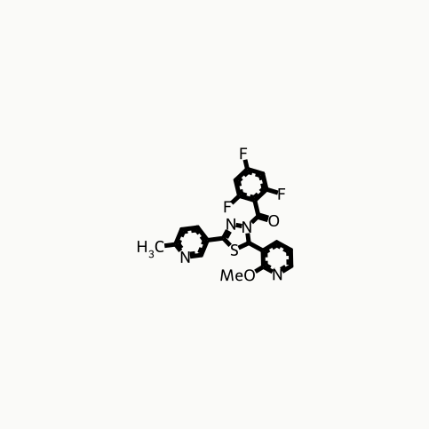 COc1ncccc1C1SC(c2ccc(C)nc2)=NN1C(=O)c1c(F)cc(F)cc1F